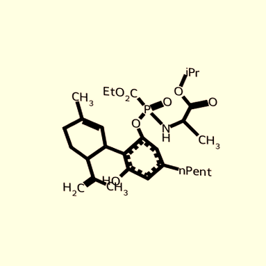 C=C(C)C1CCC(C)=CC1c1c(O)cc(CCCCC)cc1OP(=O)(NC(C)C(=O)OC(C)C)C(=O)OCC